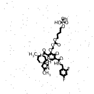 CC1=NO[C@@]2(CC[C@H](C)N3C[C@H]2n2cc(C(=O)NCc4ccc(F)cc4F)c(=O)c(OCOC(=O)OCCCCOP(=O)(O)O)c2C3=O)C1